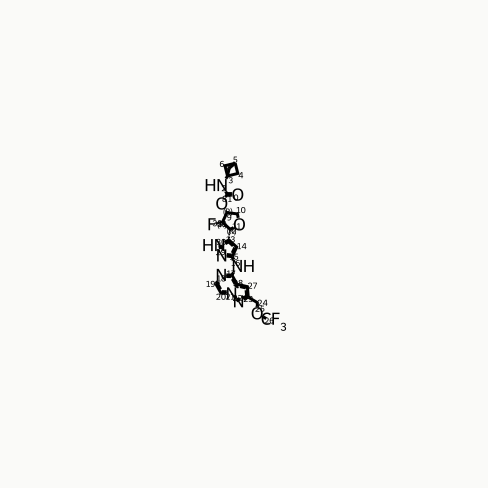 O=C(NC12CC(C1)C2)O[C@@H]1CO[C@H](c2cc(Nc3nccn4nc(COC(F)(F)F)cc34)n[nH]2)[C@H]1F